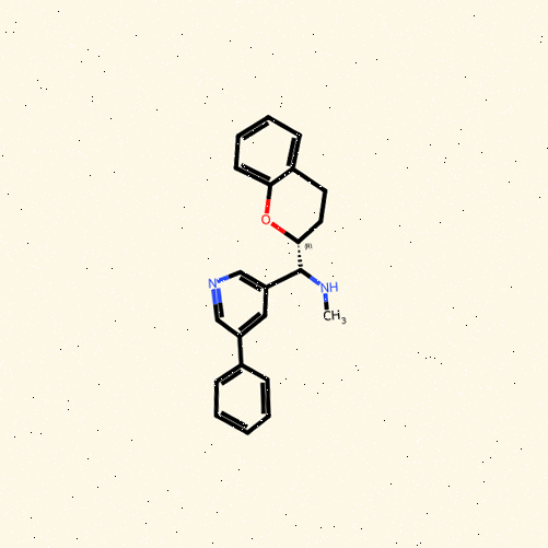 CNC(c1cncc(-c2ccccc2)c1)[C@H]1CCc2ccccc2O1